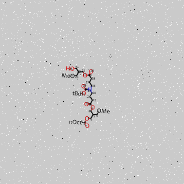 CCCCCCCCC(=O)OCC(COC)COC(=O)CCCN(CCCC(=O)OCC(CO)COC)C(=O)OC(C)(C)C